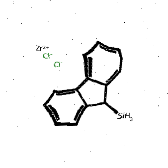 [Cl-].[Cl-].[SiH3]C1c2ccccc2-c2ccccc21.[Zr+2]